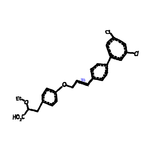 CCOC(Cc1ccc(OC/C=C/c2ccc(-c3cc(Cl)cc(Cl)c3)cc2)cc1)C(=O)O